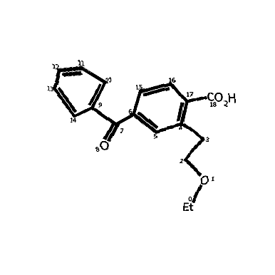 CCOCCc1cc(C(=O)c2ccccc2)ccc1C(=O)O